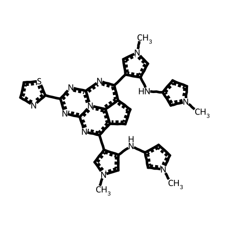 Cn1ccc(Nc2cn(C)cc2-c2nc3nc(-c4nccs4)nc4nc(-c5cn(C)cc5Nc5ccn(C)c5)c5ccc2c5n34)c1